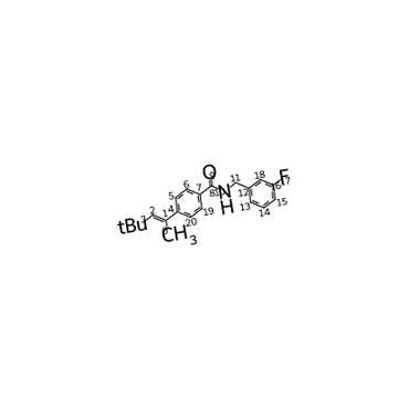 C/C(=C\C(C)(C)C)c1ccc(C(=O)NCc2cccc(F)c2)cc1